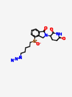 [N-]=[N+]=NCCCCC[S+]([O-])c1cccc2c1CN(C1CCC(=O)NC1=O)C2=O